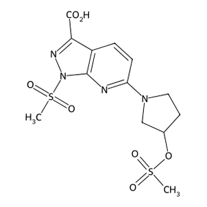 CS(=O)(=O)OC1CCN(c2ccc3c(C(=O)O)nn(S(C)(=O)=O)c3n2)C1